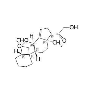 C[C@]12CC[C@H]3[C@@H](CC[C@H]4CCCC[C@@]43COC=O)C1=CC[C@@H]2C(=O)CO